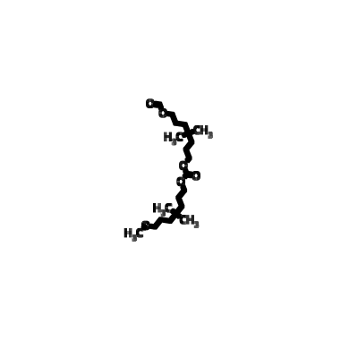 COCCCC(C)(C)CCCOC(=O)OCCCC(C)(C)CCCOC=O